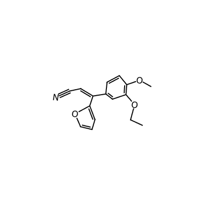 CCOc1cc(C(=CC#N)c2ccco2)ccc1OC